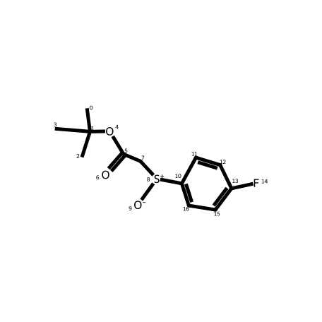 CC(C)(C)OC(=O)C[S+]([O-])c1ccc(F)cc1